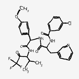 COc1ccc(C(NC(=O)C(Cc2cccnc2)NC(=O)c2cccc(Cl)c2)C(=O)NC(C(=O)C(F)(F)F)C(C)C)cc1